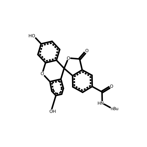 CCCCNC(=O)c1ccc2c(c1)C(=O)OC21c2ccc(O)cc2Oc2cc(O)ccc21